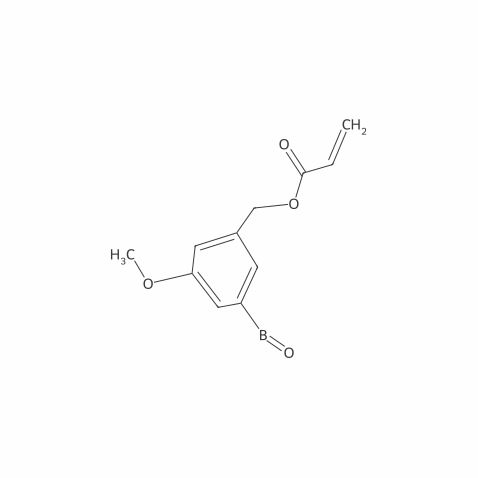 C=CC(=O)OCc1cc(B=O)cc(OC)c1